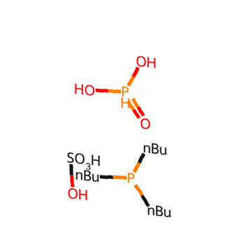 CCCCP(CCCC)CCCC.O=S(=O)(O)O.O=[PH](O)O